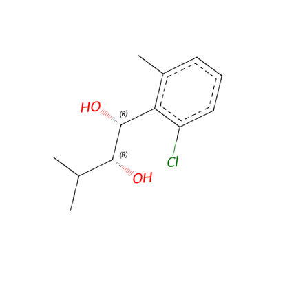 Cc1cccc(Cl)c1[C@@H](O)[C@H](O)C(C)C